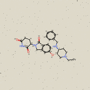 CC(C)CN1CC[C@H](NCc2ccccc2)[C@@H](Oc2ccc3c(c2)CN(C2CCC(=O)NC2=O)C3=O)C1